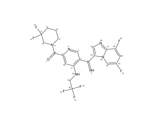 N=C(c1cnc(C(=O)N2CCCC(F)(F)C2)cc1NCC(F)(F)F)c1cnc2c(F)cc(F)cn12